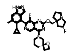 Cc1cc2[nH]ncc2c(-c2ncc3c(N4CCC[C@]5(CCO5)C4)nc(OC[C@@]45CCCN4C[C@H](F)C5)nc3c2F)c1C1CC1